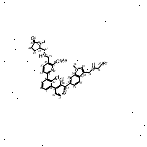 COc1nc(-c2cccc(-c3ccnc(-c4ccc5c(CNCC(C)C)cn(C)c5c4)c3Cl)c2Cl)ccc1CNCC1CCC(=O)N1